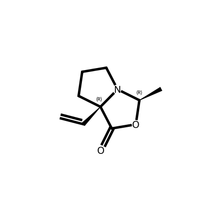 C=C[C@@]12CCCN1[C@@H](C)OC2=O